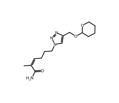 CC(=CCCCn1cc(COC2CCCCO2)nn1)C(N)=O